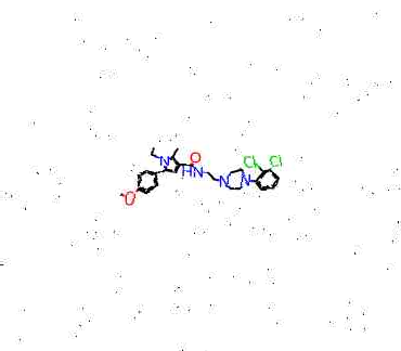 CCn1c(-c2ccc(OC)cc2)cc(C(=O)NCCN2CCN(c3cccc(Cl)c3Cl)CC2)c1C